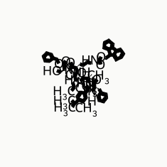 CC(C)C[C@H](NC(=O)[C@H](C)NC(=O)[C@H](Cc1ccccc1)NC(=O)c1ccc(C(C)(C)C)cc1)C(=O)N[C@@H](CCCCNC(=O)OCC1c2ccccc2-c2ccccc21)C(=O)N[C@@H](CO)C(=O)OCc1ccccc1